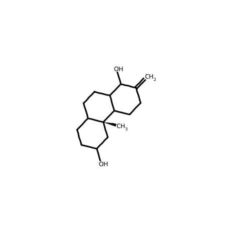 C=C1CCC2C(CCC3CCC(O)C[C@]32C)C1O